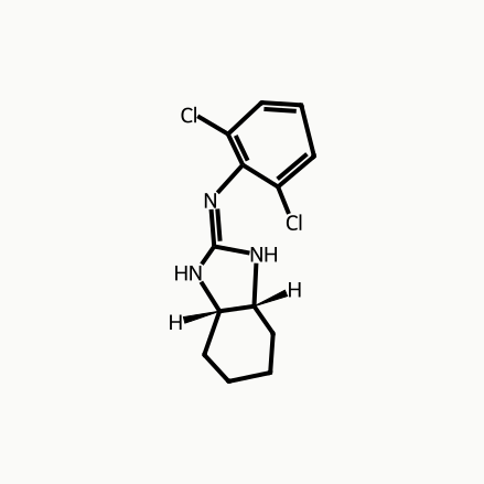 Clc1cccc(Cl)c1N=C1N[C@H]2CCCC[C@H]2N1